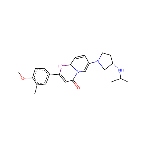 COc1ccc(C2=CC(=O)N3C=C(N4CC[C@H](NC(C)C)C4)C=CC3P2)cc1C